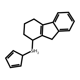 C1=CC([SiH2]C2CCCC3=C2Cc2ccccc23)C=C1